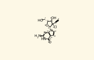 C#C[C@@]1(Cl)C(O)[C@@H](CO)O[C@H]1n1ccc2c(=O)[nH]c(N)nc21